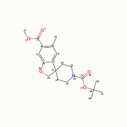 COC(=O)c1cc2c(cc1C)C1(CCN(C(=O)OC(C)(C)C)CC1)CO2